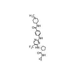 CN1CCC(NC(=O)c2ccc(Nc3ncc(C(F)(F)F)c(N[C@@H]4CCC[C@@H]4C(=O)NC4CC4)n3)cc2)CC1